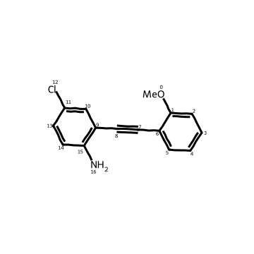 COc1ccccc1C#Cc1cc(Cl)ccc1N